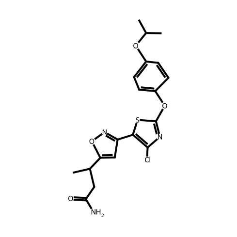 CC(C)Oc1ccc(Oc2nc(Cl)c(-c3cc(C(C)CC(N)=O)on3)s2)cc1